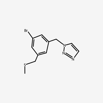 CSCc1cc(Br)cc(Cn2ccnn2)c1